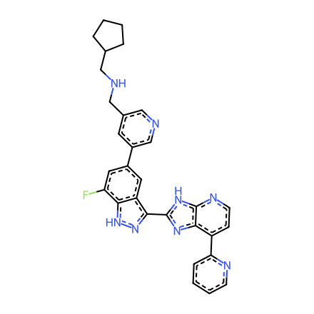 Fc1cc(-c2cncc(CNCC3CCCC3)c2)cc2c(-c3nc4c(-c5ccccn5)ccnc4[nH]3)n[nH]c12